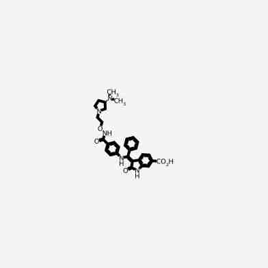 CN(C)[C@H]1CCN(CCONC(=O)c2ccc(N/C(=C3\C(=O)Nc4cc(C(=O)O)ccc43)c3ccccc3)cc2)C1